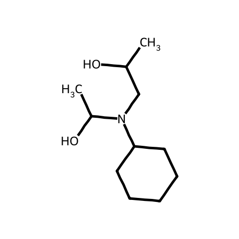 CC(O)CN(C(C)O)C1CCCCC1